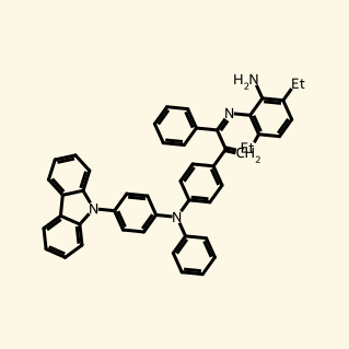 C=C(/C(=N\c1c(CC)ccc(CC)c1N)c1ccccc1)c1ccc(N(c2ccccc2)c2ccc(-n3c4ccccc4c4ccccc43)cc2)cc1